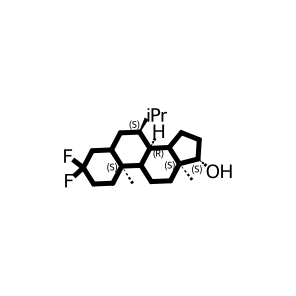 CC(C)[C@@H]1CC2CC(F)(F)CC[C@]2(C)C2CC[C@@]3(C)C(CC[C@@H]3O)[C@@H]21